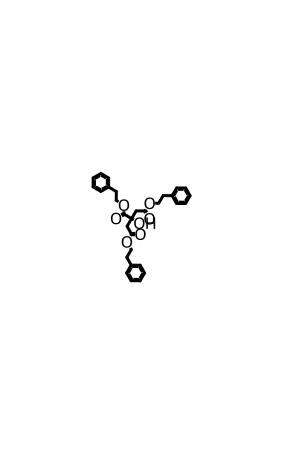 O=C(CC(O)(CC(=O)OCCc1ccccc1)C(=O)OCCc1ccccc1)OCCc1ccccc1